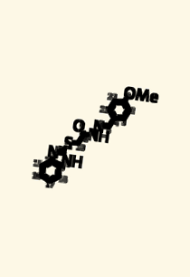 COc1ccc(C=NNC(=O)CSc2nc3ccccc3[nH]2)cc1